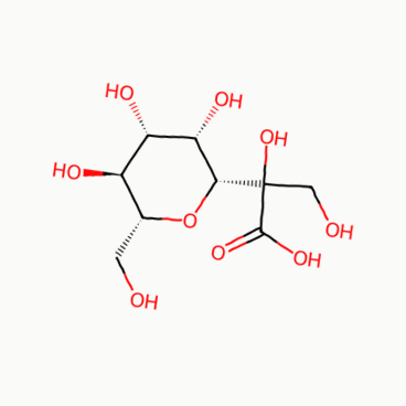 O=C(O)C(O)(CO)[C@@H]1O[C@H](CO)[C@@H](O)[C@H](O)[C@@H]1O